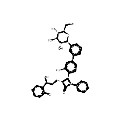 O=C1[C@H](CC[C@H](O)c2ccccc2Cl)[C@@H](c2ccc(-c3cccc([C@@H]4O[C@H](CO)[C@@H](O)[C@H](O)[C@H]4O)c3)cc2O)N1c1ccccc1